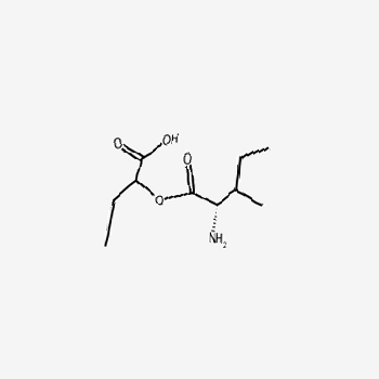 CCC(OC(=O)[C@@H](N)C(C)CC)C(=O)O